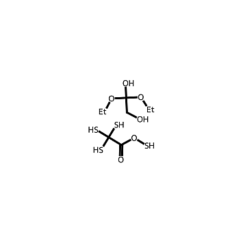 CCOC(O)(CO)OCC.O=C(OS)C(S)(S)S